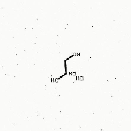 Cl.Cl.OCCO